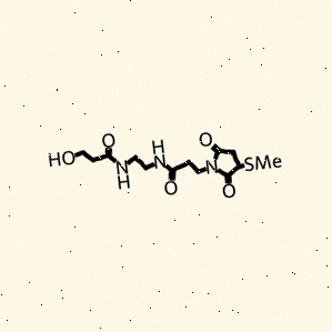 CSC1CC(=O)N(CCC(=O)NCCNC(=O)CCO)C1=O